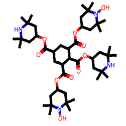 CC1(C)CC(OC(=O)C2CC(C(=O)OC3CC(C)(C)N(O)C(C)(C)C3)C(C(=O)OC3CC(C)(C)NC(C)(C)C3)C(C(=O)OC3CC(C)(C)N(O)C(C)(C)C3)C2)CC(C)(C)N1